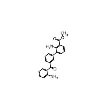 COC(=O)c1cccc(-c2cccc(C(=O)c3ccccc3N)c2)c1N